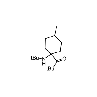 CC1CCC(NC(C)(C)C)(C(=O)C(C)(C)C)CC1